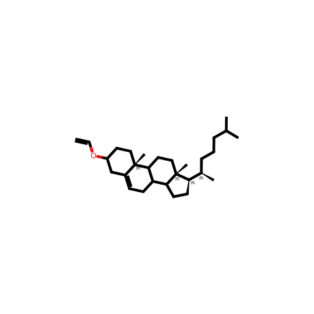 C=COC1CC[C@@]2(C)C(=CCC3C2CC[C@@]2(C)C3CC[C@@H]2[C@H](C)CCCC(C)C)C1